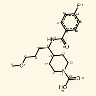 COCCC[C@@H](NC(=O)c1ccc(F)cc1)C1CCN(C(=O)O)CC1